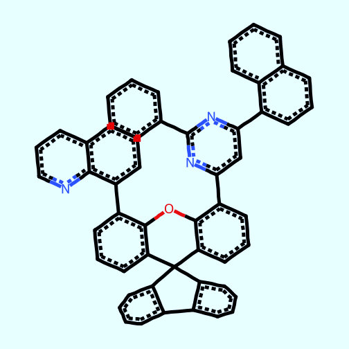 c1ccc(-c2nc(-c3cccc4c3Oc3c(-c5cccc6cccnc56)cccc3C43c4ccccc4-c4ccccc43)cc(-c3cccc4ccccc34)n2)cc1